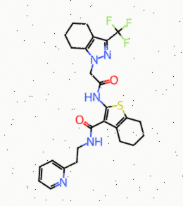 O=C(Cn1nc(C(F)(F)F)c2c1CCCC2)Nc1sc2c(c1C(=O)NCCc1ccccn1)CCCC2